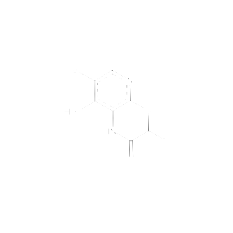 Cc1c(Br)cnc2c1NC(=O)C(F)O2